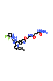 Cc1cccc(-c2nc(CNc3cccc(F)c3F)[nH]c2-c2ccc3ncc(OCCCNC(=O)CCCC(=O)NN)cc3c2)n1